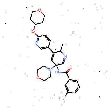 CC1N=CC(NC(=O)c2cccc(C(F)(F)F)c2)(N2CCOCC2)C=C1c1ccc(OC2CCOCC2)nc1